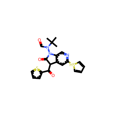 CC(C)(C)N(C=O)N1C(=O)C(C(=O)c2cccs2)c2cc([SH]3C=CC=C3)ncc21